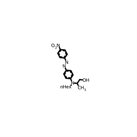 CCCCCCN(c1ccc(/N=N/c2ccc([N+](=O)[O-])cc2)cc1)C(C)CO